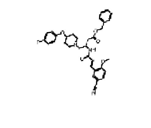 COc1ccc(C#N)cc1C=CC(=O)N[C@H](CC(=O)OCc1ccccc1)CN1CCC(Oc2ccc(F)cc2)CC1